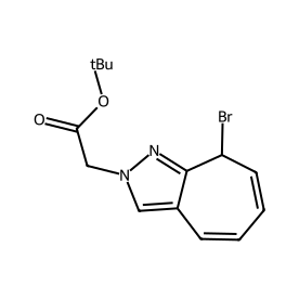 CC(C)(C)OC(=O)Cn1cc2c(n1)C(Br)C=CC=C2